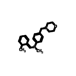 CC1C=CC=CC1=CN(C)c1ccc(CN2CCOCC2)cc1